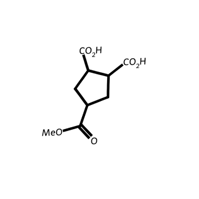 COC(=O)C1CC(C(=O)O)C(C(=O)O)C1